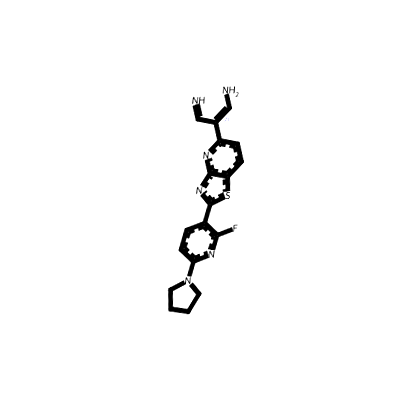 N=C/C(=C\N)c1ccc2sc(-c3ccc(N4CCCC4)nc3F)nc2n1